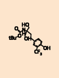 CC(C)(C)OC(=O)NC(CO)(CO)CCc1ccc(O)c(C(F)(F)F)c1